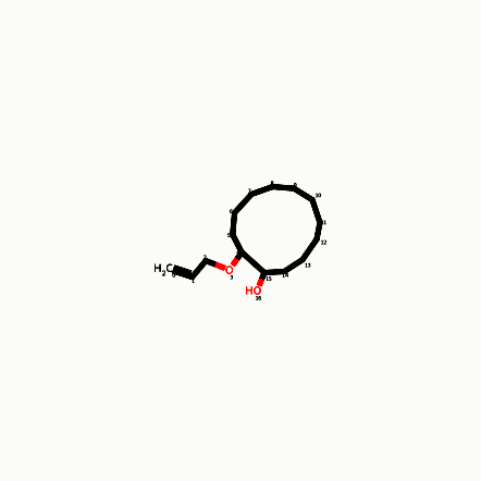 C=CCOC1CCCCCCCCCCC1O